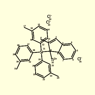 CC1=Cc2ccccc2[C]1([Ti+3])[Si](c1cccc(C)c1)(c1cccc(C)c1)c1cccc(C)c1.[Cl-].[Cl-].[Cl-]